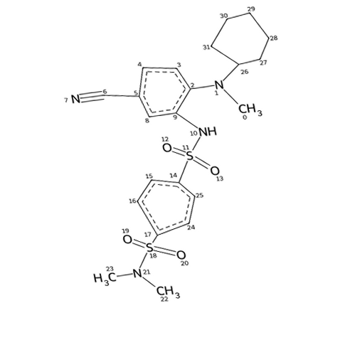 CN(c1ccc(C#N)cc1NS(=O)(=O)c1ccc(S(=O)(=O)N(C)C)cc1)C1CCCCC1